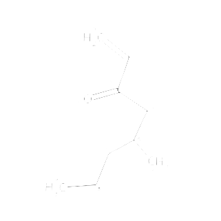 C=CC(=O)CC(C)CCC